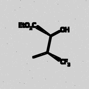 CCOC(=O)[C@@H](O)[C@H](C)C(F)(F)F